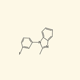 Cc1nc2ccccc2n1-c1cccc(F)c1